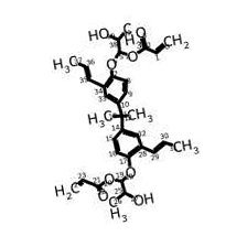 C=CC(=O)OC(Oc1ccc(C(C)(C)c2ccc(OC(OC(=O)C=C)C(C)O)c(C=CC)c2)cc1C=CC)C(C)O